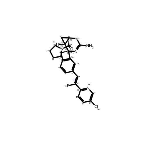 NC1=N[C@@]2(Cc3ccc(/C=C(\F)c4ccc(Cl)cn4)cc32)[C@@H]2C[C@]2(C(=O)N2CCCC2)S1